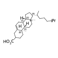 CC(C)CCCC(C)[C@H]1CC[C@H]2[C@@H]3CC=C4CC(C(=O)O)CC[C@]4(C)[C@H]3CC[C@]12C